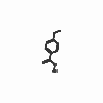 CCc1ccc(C(=O)OO)cc1